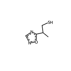 CC(CS)c1ncno1